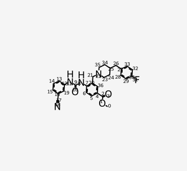 COC(=O)c1ccc(NC(=O)Nc2cccc(C#N)c2)c(CN2CCC(Cc3ccc(F)cc3)CC2)c1